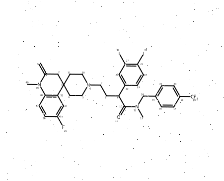 C=C1CC2(CCN(CCC(C(=O)N(C)Cc3ccc(C(F)(F)F)cc3)c3ccc(I)c(I)c3)CC2)c2cc(F)ccc2N1C